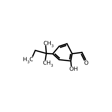 CCC(C)(C)c1ccc(C=O)c(O)c1